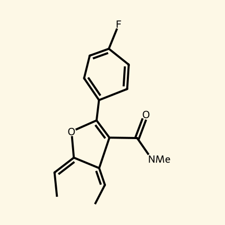 C/C=c1/c(C(=O)NC)c(-c2ccc(F)cc2)o/c1=C/C